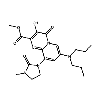 CCCN(CCC)c1cc(N2CCN(C)C2=O)c2nc(C(=O)OC)c(O)c(=O)n2c1